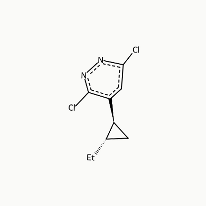 CC[C@H]1C[C@@H]1c1cc(Cl)nnc1Cl